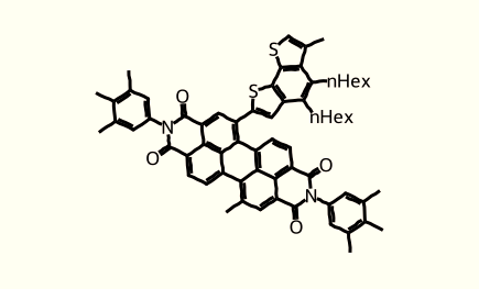 CCCCCCc1c(CCCCCC)c2c(C)csc2c2sc(-c3cc4c5c(ccc6c7c(C)cc8c9c(ccc(c3c56)c97)C(=O)N(c3cc(C)c(C)c(C)c3)C8=O)C(=O)N(c3cc(C)c(C)c(C)c3)C4=O)cc12